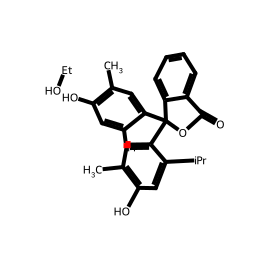 CCO.Cc1cc(C2(c3cc(C)c(O)cc3C(C)C)OC(=O)c3ccccc32)c(C(C)C)cc1O